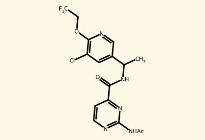 CC(=O)Nc1nccc(C(=O)NC(C)c2cnc(OCC(F)(F)F)c(Cl)c2)n1